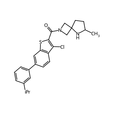 CC1CCC2(CN(C(=O)c3sc4cc(-c5cccc(C(C)C)c5)ccc4c3Cl)C2)N1